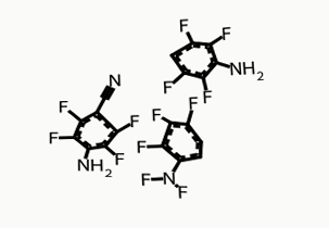 Fc1ccc(N(F)F)c(F)c1F.N#Cc1c(F)c(F)c(N)c(F)c1F.Nc1c(F)c(F)cc(F)c1F